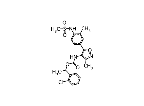 Cc1cc(-c2onc(C)c2NC(=O)OC(C)c2ccccc2Cl)ccc1NS(C)(=O)=O